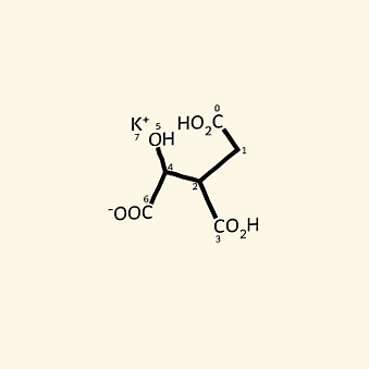 O=C(O)CC(C(=O)O)C(O)C(=O)[O-].[K+]